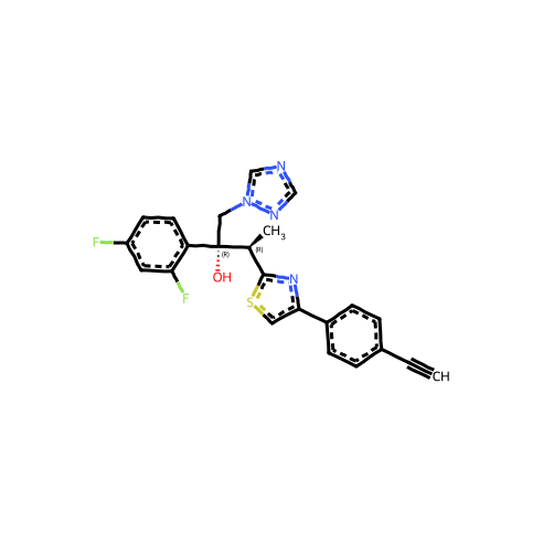 C#Cc1ccc(-c2csc([C@H](C)[C@](O)(Cn3cncn3)c3ccc(F)cc3F)n2)cc1